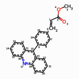 C=CC(=O)OC.c1ccc(-c2c3ccccc3nc3ccccc23)cc1